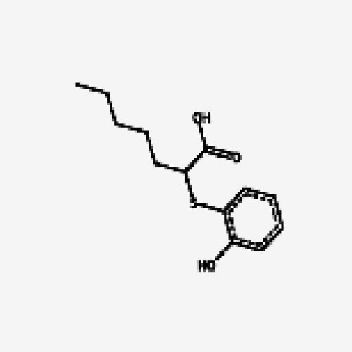 CCCCCC(Sc1ccccc1O)C(=O)O